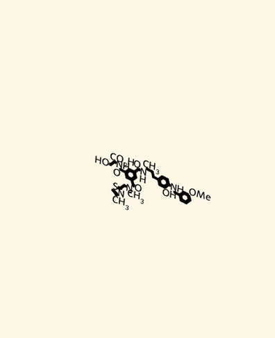 COc1cccc(CNc2ccc(CC[C@H](C)NC(=O)c3cc(C(=O)NC(CO)C(=O)O)cc(C(=O)N(C)Cc4nc(C)cs4)c3)cc2O)c1